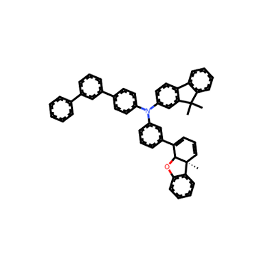 CC1(C)c2ccccc2-c2ccc(N(c3ccc(-c4cccc(-c5ccccc5)c4)cc3)c3cccc(C4=CC=C[C@@]5(C)c6ccccc6OC45)c3)cc21